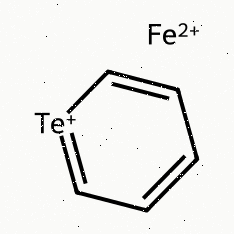 [Fe+2].c1cc[te+]cc1